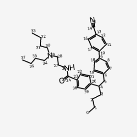 CCCCC(Cc1ccc(-c2ccc(C#N)cc2)cc1)c1ccc(C(=O)NCCN(CCCC)CCCC)cc1